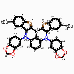 CC(C)(C)c1ccc2sc3c(c2c1)N(c1ccc2c(c1)OCO2)c1cccc2c1B3c1sc3ccc(C(C)(C)C)cc3c1N2c1ccc2c(c1)OCO2